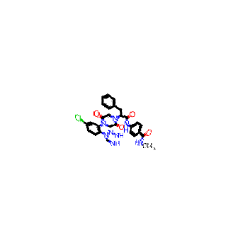 CNC(=O)c1ccc(NC(=O)C(Cc2ccccc2)N2CC(=O)N(c3cc(Cl)ccc3N(C=N)N=N)CC2=O)cc1